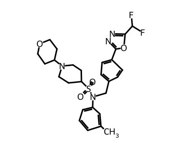 Cc1cccc(N(Cc2ccc(-c3nnc(C(F)F)o3)cc2)S(=O)(=O)C2CCN(C3CCOCC3)CC2)c1